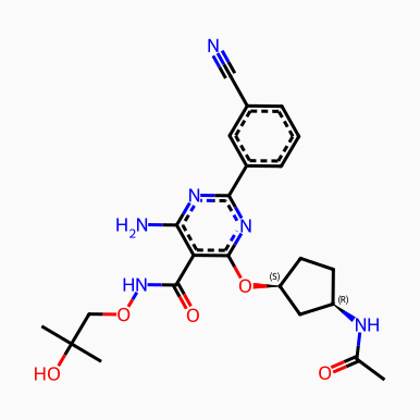 CC(=O)N[C@@H]1CC[C@H](Oc2nc(-c3cccc(C#N)c3)nc(N)c2C(=O)NOCC(C)(C)O)C1